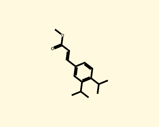 COC(=O)C=Cc1ccc(C(C)C)c(C(C)C)c1